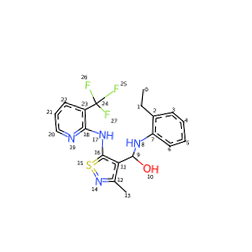 CCc1ccccc1NC(O)c1c(C)nsc1Nc1ncccc1C(F)(F)F